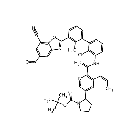 C=C(Nc1cccc(-c2cccc(-c3nc4cc(C=O)cc(C#N)c4o3)c2C)c1Cl)c1ncc(C2CCCN2C(=O)OC(C)(C)C)cc1/C=C\C